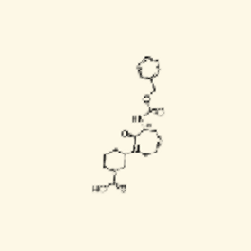 O=C(N[C@@H]1CC=CCN(C2CCCN(C(=O)O)C2)C1=O)OCc1ccccc1